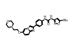 CC(C)(C)c1cc(NC(=O)Nc2ccc(-c3cn4cc(OCCN5CCOCC5)ccc4n3)cc2)no1